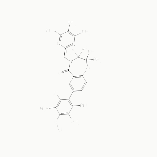 Bc1nc(CN2C(=O)c3cc(-c4c(B)c(B)c(OC(F)(F)F)c(B)c4B)ccc3OC(B)(B)C2(B)B)nc(B)c1B